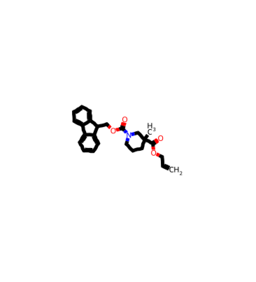 C=CCOC(=O)C1(C)CCCN(C(=O)OCC2c3ccccc3-c3ccccc32)C1